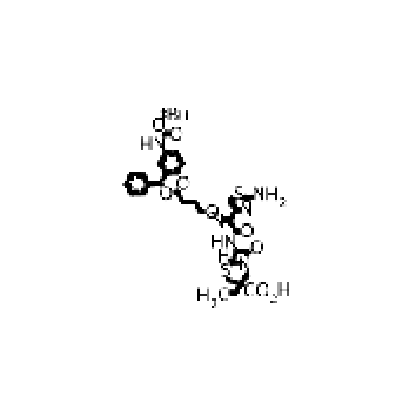 C=CC1(C(=O)O)CS[C@@H]2C(NC(=O)C(=NOCCCC(=O)OC(c3ccccc3)c3cccc(NC(=O)OC(C)(C)C)c3)c3csc(N)n3)C(=O)N2C1